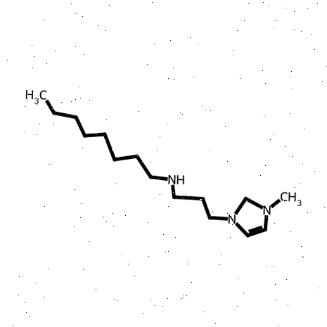 CCCCCCCCNCCCN1C=CN(C)C1